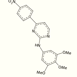 COc1cc(Nc2nccc(-c3ccc([N+](=O)[O-])cc3)n2)cc(OC)c1OC